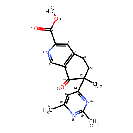 COC(=O)c1cc2c(cn1)C(=O)C(C)(c1cc(C)nc(C)n1)CC2